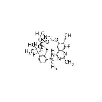 C#Cc1c(OCCN(C)S(C)(=O)=O)cc2c(N[C@H](C)c3cccc(C(F)(F)C(C)(C)O)c3F)nc(C)nc2c1F